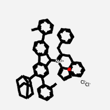 Cc1ccccc1-c1ccc2c(c1)[CH]([Zr+2]([C]1=CC=CC1)=[C](Cc1ccccc1)Cc1ccccc1)c1cc(-c3ccccc3C)c(C3C4CC5CC(C4)CC3C5)cc1-2.[Cl-].[Cl-]